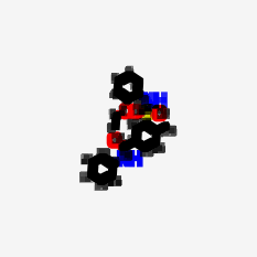 CCOc1ccccc1NS(=O)(=O)c1cc(C(=O)Nc2ccccc2)ccc1C